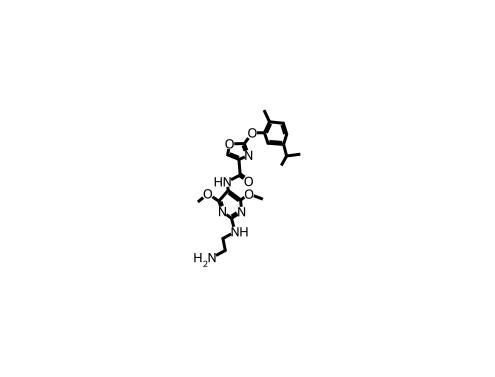 COc1nc(NCCN)nc(OC)c1NC(=O)c1coc(Oc2cc(C(C)C)ccc2C)n1